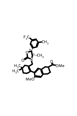 COC(=O)C1CCc2cc(OC)c(C3=C(CN4C(=O)O[C@H](c5cc(C)cc(C(F)(F)F)c5)[C@@H]4C)CC(C)(C)CC3)cc2C1